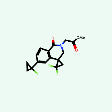 COC(=O)CN1CC2(CC2(F)F)c2cc(C3(F)CC3)ccc2C1=O